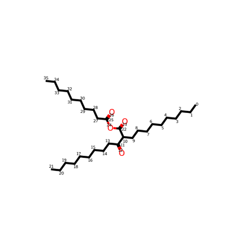 CCCCCCCCCCC(C(=O)CCCCCCCCC)C(=O)OC(=O)CCCCCCCCC